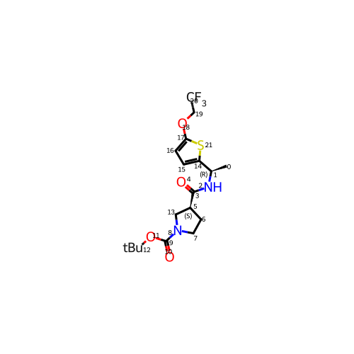 C[C@@H](NC(=O)[C@H]1CCN(C(=O)OC(C)(C)C)C1)c1ccc(OCC(F)(F)F)s1